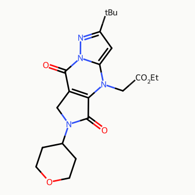 CCOC(=O)Cn1c2c(c(=O)n3nc(C(C)(C)C)cc13)CN(C1CCOCC1)C2=O